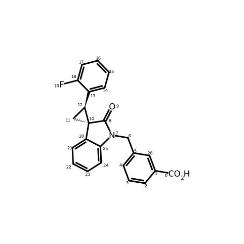 O=C(O)c1cccc(CN2C(=O)[C@@]3(C[C@H]3c3ccccc3F)c3ccccc32)c1